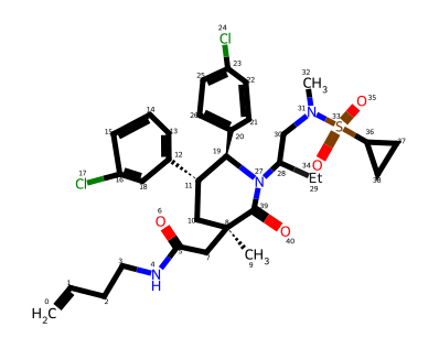 C=CCCNC(=O)C[C@@]1(C)C[C@H](c2cccc(Cl)c2)[C@@H](c2ccc(Cl)cc2)N(C(CC)CN(C)S(=O)(=O)C2CC2)C1=O